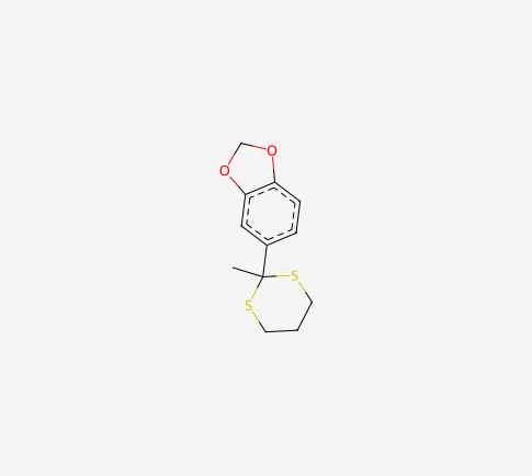 CC1(c2ccc3c(c2)OCO3)SCCCS1